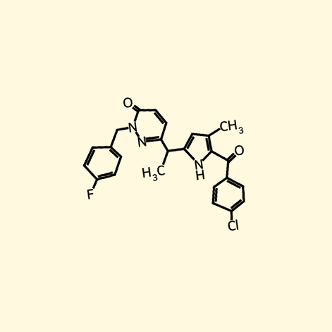 Cc1cc(C(C)c2ccc(=O)n(Cc3ccc(F)cc3)n2)[nH]c1C(=O)c1ccc(Cl)cc1